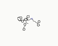 COCCOC(C)C1[C@@H](C/C=C\CCCC(=O)OC)[C@H](Cl)C[C@H]1O[C@H]1C=CC=CO1